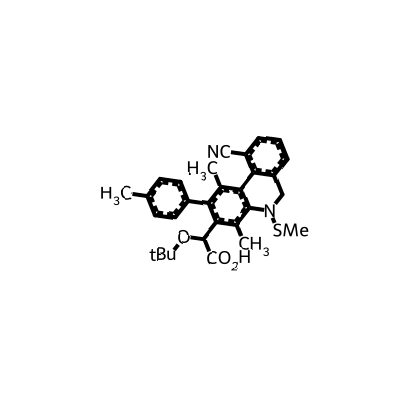 CSN1Cc2cccc(C#N)c2-c2c(C)c(-c3ccc(C)cc3)c(C(OC(C)(C)C)C(=O)O)c(C)c21